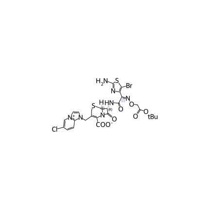 CC(C)(C)OC(=O)CO/N=C(\C(=O)N[C@@H]1C(=O)N2C(C(=O)[O-])=C(Cn3cc[n+]4cc(Cl)ccc34)CS[C@@H]12)c1nc(N)sc1Br